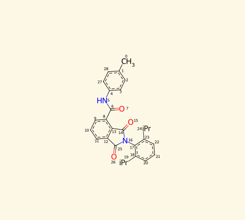 Cc1ccc(NC(=O)c2cccc3c2C(=O)N(c2c(C(C)C)cccc2C(C)C)C3=O)cc1